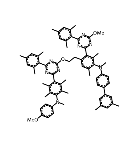 COc1ccc(N(C)c2c(C)c(C)c(-c3nc(OCCc4cc(C)c(N(C)c5ccc(-c6cc(C)cc(C)c6)cc5)c(C)c4-c4nc(OC)nc(-c5c(C)cc(C)cc5C)n4)nc(-c4c(C)cc(C)cc4C)n3)c(C)c2C)cc1